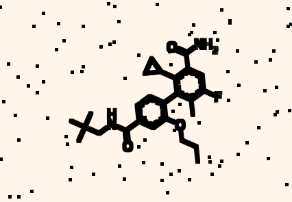 CCCOc1cc(C(=O)NCC(C)(C)C)ccc1-c1c(C)c(F)cc(C(N)=O)c1C1CC1